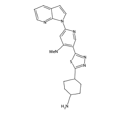 CNc1cc(-n2ccc3cccnc32)ncc1-c1nnc(C2CCC(N)CC2)s1